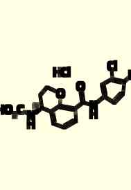 Cl.O=C(O)N[C@H]1CCOc2c(C(=O)Nc3ccc(F)c(Cl)c3)cccc21